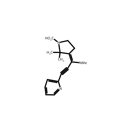 CN/C(C#Cc1ccccn1)=C1\CCN(C(=O)O)C1(C)C